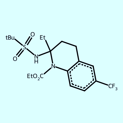 CCOC(=O)N1c2ccc(C(F)(F)F)cc2CCC1(CC)NS(=O)(=O)C(C)(C)C